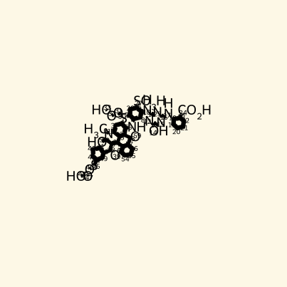 CN1c2ccc(Nc3cc(Nc4nc(O)nc(Nc5ccccc5C(=O)O)n4)c(S(=O)(=O)O)cc3SOOO)c3c2C(=C(C(=O)c2cccc(SOOO)c2)C1O)c1ccccc1C3=O